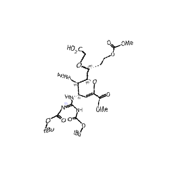 COC(=O)OCC[C@@H](OCC(=O)O)[C@@H]1OC(C(=O)OC)=C[C@H](N/C(=N/C(=O)OC(C)(C)C)NC(=O)OC(C)(C)C)[C@H]1NC(C)=O